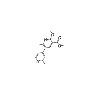 COC(=O)c1cc(-c2ccnc(C)c2)c(C)nc1OC